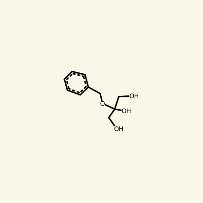 OCC(O)(CO)OCc1ccccc1